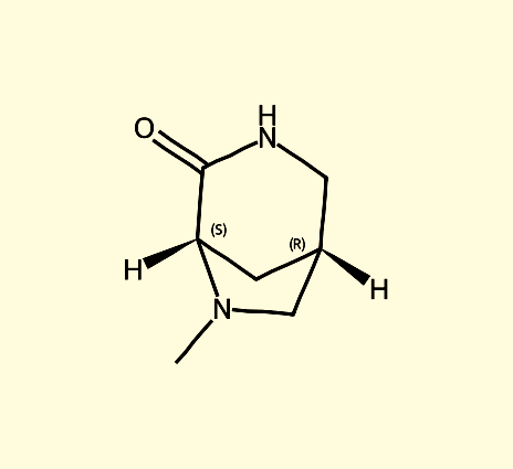 CN1C[C@H]2CNC(=O)[C@@H]1C2